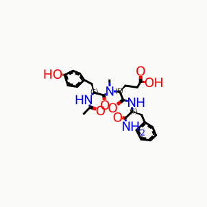 CC(=O)N[C@@H](Cc1ccc(O)cc1)C(=O)N(C)[C@@H](CCC(=O)O)C(=O)N[C@@H](Cc1ccccc1)C(N)=O